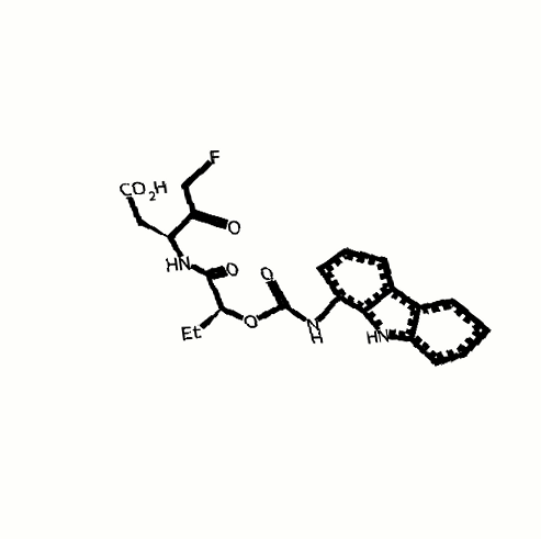 CC[C@H](OC(=O)Nc1cccc2c1[nH]c1ccccc12)C(=O)N[C@@H](CC(=O)O)C(=O)CF